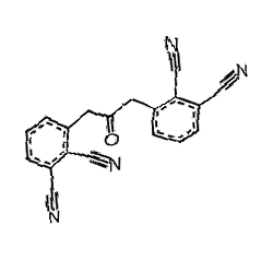 N#Cc1cccc(CC(=O)Cc2cccc(C#N)c2C#N)c1C#N